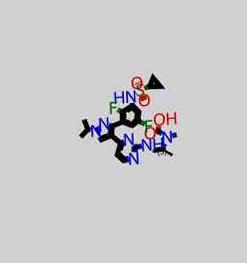 CC(C)n1cc(-c2ccnc(NC[C@H](C)N(C)C(=O)O)n2)c(-c2cc(F)cc(NS(=O)(=O)C3CC3)c2F)n1